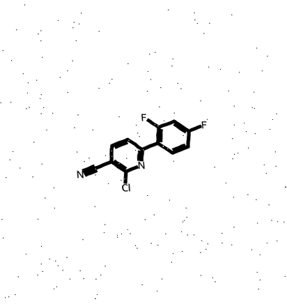 N#Cc1ccc(-c2ccc(F)cc2F)nc1Cl